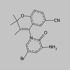 CC1=C(n2cc(Br)cc(N)c2=O)c2cc(C#N)ccc2OC1(C)C